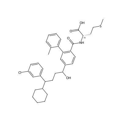 CSCC[C@H](NC(=O)c1ccc(C(O)CCC(c2cccc(Cl)c2)C2CCCCC2)cc1-c1ccccc1C)C(=O)O